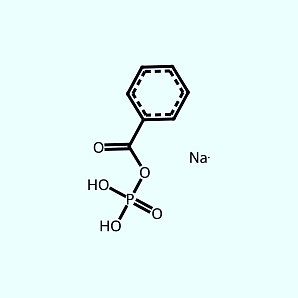 O=C(OP(=O)(O)O)c1ccccc1.[Na]